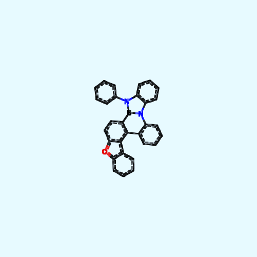 c1ccc(N2B3c4ccc5oc6ccccc6c5c4-c4ccccc4N3c3ccccc32)cc1